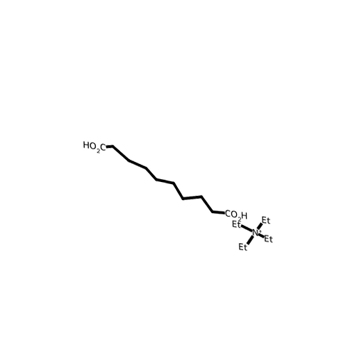 CC[N+](CC)(CC)CC.O=C(O)CCCCCCCCC(=O)O